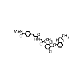 CNC(=O)c1ccc(C=CC(=O)NCC(=O)N(C)c2ccc(Cl)c(COc3cccc4nc(C)cnc34)c2Cl)cc1